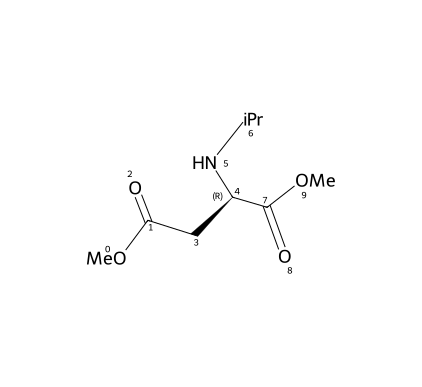 COC(=O)C[C@@H](NC(C)C)C(=O)OC